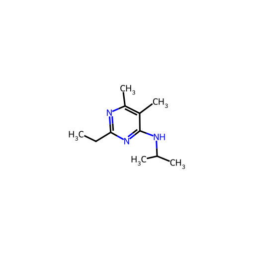 CCc1nc(C)c(C)c(NC(C)C)n1